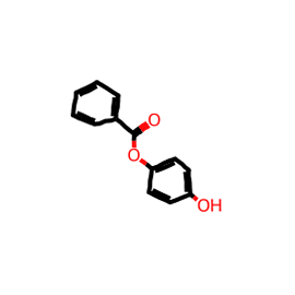 O=C(Oc1ccc(O)cc1)c1ccccc1